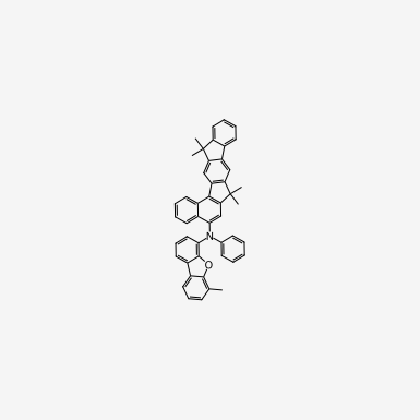 Cc1cccc2c1oc1c(N(c3ccccc3)c3cc4c(c5ccccc35)-c3cc5c(cc3C4(C)C)-c3ccccc3C5(C)C)cccc12